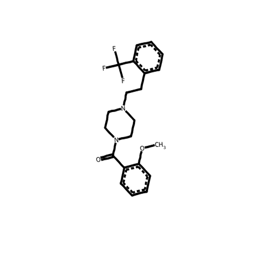 COc1ccccc1C(=O)N1CCN(CCc2ccccc2C(F)(F)F)CC1